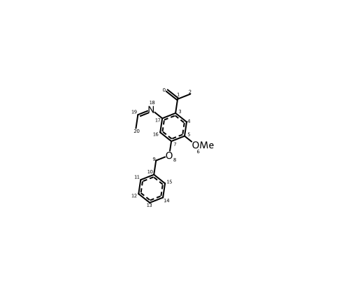 C=C(C)c1cc(OC)c(OCc2ccccc2)cc1/N=C\C